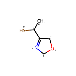 CC(S)C1=NCOC1